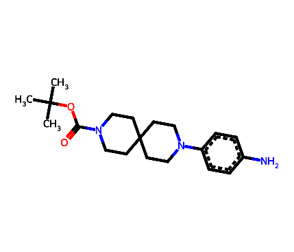 CC(C)(C)OC(=O)N1CCC2(CC1)CCN(c1ccc(N)cc1)CC2